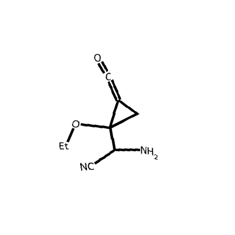 CCOC1(C(N)C#N)CC1=C=O